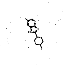 Fc1cnc2nc(N3CCC(F)CC3)[nH]c2c1